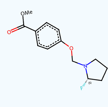 COC(=O)c1ccc(OCN2CCC[C@@H]2F)cc1